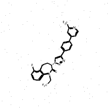 O=C1[C@@H](n2cc(-c3ccc(-c4ccnc(C(F)(F)F)c4)cc3)nn2)CCc2c(F)cccc2N1CC(F)(F)F